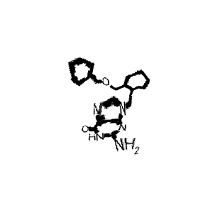 Nc1nc2c(ncn2CC2CCCCC2COCc2ccccc2)c(=O)[nH]1